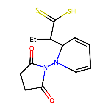 CCC(C(=S)S)C1C=CC=CN1N1C(=O)CCC1=O